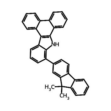 CC1(C)c2ccccc2-c2ccc(-c3cccc4c3[nH]c3c5ccccc5c5ccccc5c43)cc21